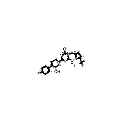 Cc1nc(N2CC=C(c3ccc(F)cc3)[C@@H](O)C2)nc(=O)n1Cc1ccc(C(F)(F)F)s1